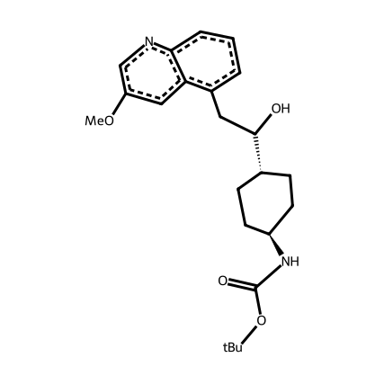 COc1cnc2cccc(CC(O)[C@H]3CC[C@H](NC(=O)OC(C)(C)C)CC3)c2c1